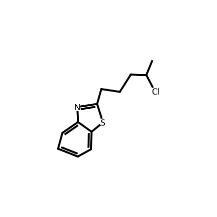 CC(Cl)CCCc1nc2ccccc2s1